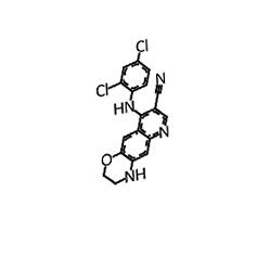 N#Cc1cnc2cc3c(cc2c1Nc1ccc(Cl)cc1Cl)OCCN3